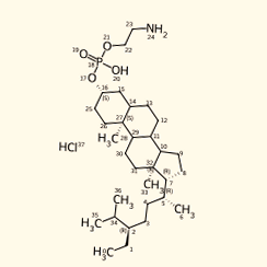 CC[C@H](CC[C@@H](C)[C@H]1CCC2C3CCC4C[C@@H](OP(=O)(O)OCCN)CC[C@]4(C)C3CC[C@@]21C)C(C)C.Cl